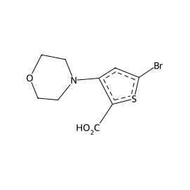 O=C(O)c1sc(Br)cc1N1CCOCC1